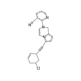 N#Cc1cccnc1N1C=Cn2c(C#CC3C=CCC(Cl)C3)ccc2C1